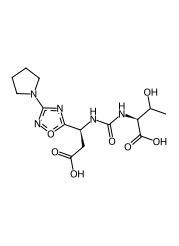 CC(O)[C@H](NC(=O)N[C@@H](CC(=O)O)c1nc(N2CCCC2)no1)C(=O)O